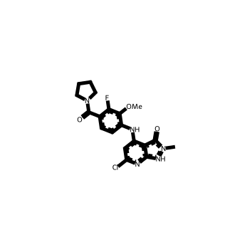 COc1c(Nc2cc(Cl)nc3[nH]n(C)c(=O)c23)ccc(C(=O)N2CCCC2)c1F